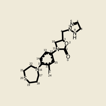 O=C1OC(CN2N=CCN2)CN1c1ccc(N2CCCSCC2)c(F)c1